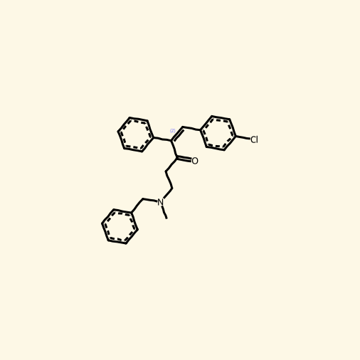 CN(CCC(=O)/C(=C\c1ccc(Cl)cc1)c1ccccc1)Cc1ccccc1